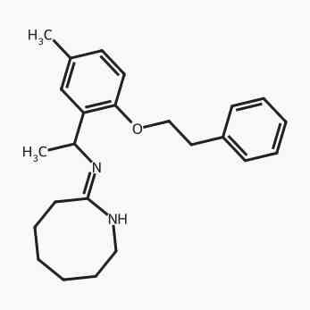 Cc1ccc(OCCc2ccccc2)c(C(C)N=C2CCCCCCN2)c1